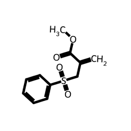 C=C(CS(=O)(=O)c1ccccc1)C(=O)OC